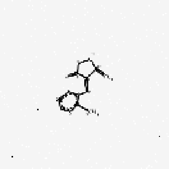 Cc1ccccc1C=C1C(=O)COC1=O